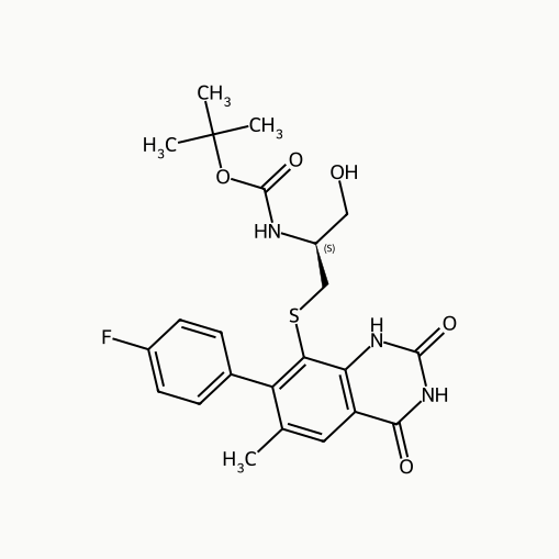 Cc1cc2c(=O)[nH]c(=O)[nH]c2c(SC[C@H](CO)NC(=O)OC(C)(C)C)c1-c1ccc(F)cc1